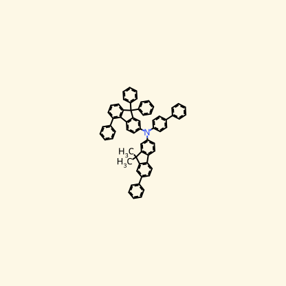 CC1(C)c2cc(-c3ccccc3)ccc2-c2ccc(N(c3ccc(-c4ccccc4)cc3)c3ccc4c(c3)C(c3ccccc3)(c3ccccc3)c3cccc(-c5ccccc5)c3-4)cc21